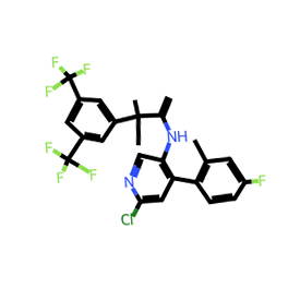 C=C(Nc1cnc(Cl)cc1-c1ccc(F)cc1C)C(C)(C)c1cc(C(F)(F)F)cc(C(F)(F)F)c1